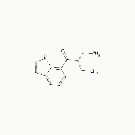 CCN(CC)C(=O)c1c[c]cc2cc[nH]c12